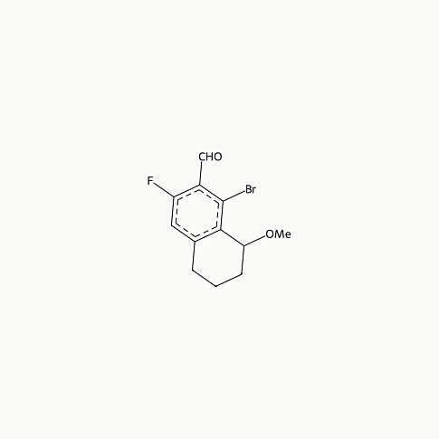 COC1CCCc2cc(F)c(C=O)c(Br)c21